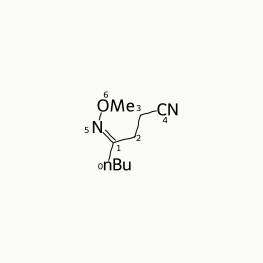 CCCCC(CCC#N)=NOC